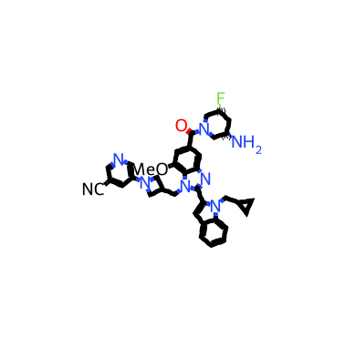 COc1cc(C(=O)N2C[C@H](N)C[C@@H](F)C2)cc2nc(-c3cc4ccccc4n3CC3CC3)n(CC3CN(c4cncc(C#N)c4)C3)c12